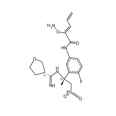 C=C/C=C(\ON)C(=O)Nc1ccc(F)c([C@](C)(C[SH](=O)=O)NC(=N)[C@@H]2CCOC2)c1